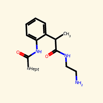 CCCCCCCC(=O)Nc1ccccc1C(C)C(=O)NCCN